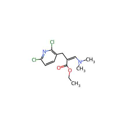 CCOC(=O)C(=CN(C)C)Cc1ccc(Cl)nc1Cl